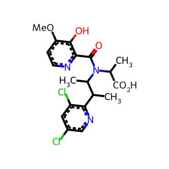 COc1ccnc(C(=O)N(C(C)C(=O)O)C(C)C(C)c2ncc(Cl)cc2Cl)c1O